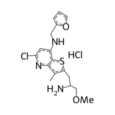 COCC(N)Cc1sc2c(NCc3ccco3)cc(Cl)nc2c1C.Cl